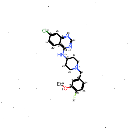 CCOc1cc(CN2CCC(Nc3ncnc4cc(Cl)ccc34)CC2)ccc1F